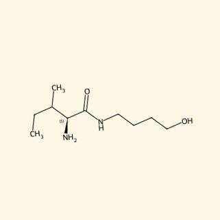 CCC(C)[C@H](N)C(=O)NCCCCO